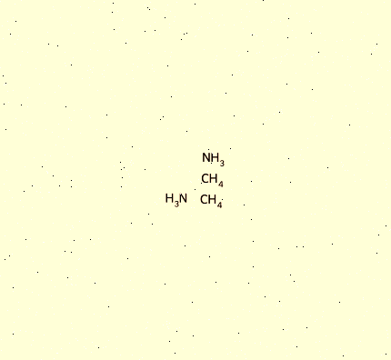 C.C.N.N